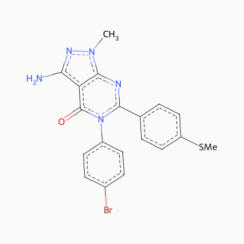 CSc1ccc(-c2nc3c(c(N)nn3C)c(=O)n2-c2ccc(Br)cc2)cc1